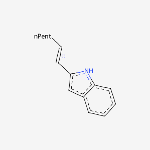 CCCCC/C=C/c1cc2ccccc2[nH]1